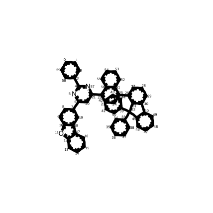 c1ccc(-c2nc(-c3ccc4oc5ccccc5c4c3)cc(-c3ccc(-c4cccc5c4C(c4ccccc4)(c4ccccc4)c4ccccc4-5)c4ccccc34)n2)cc1